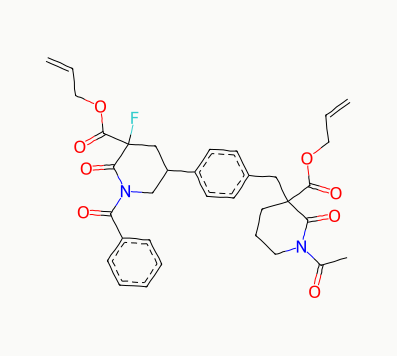 C=CCOC(=O)C1(F)CC(c2ccc(CC3(C(=O)OCC=C)CCCN(C(C)=O)C3=O)cc2)CN(C(=O)c2ccccc2)C1=O